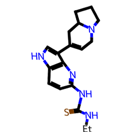 CCNC(=S)Nc1ccc2[nH]cc(C3=CCN4CCCC4C3)c2n1